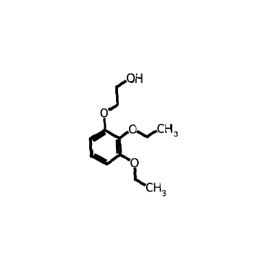 CCOc1cccc(OCCO)c1OCC